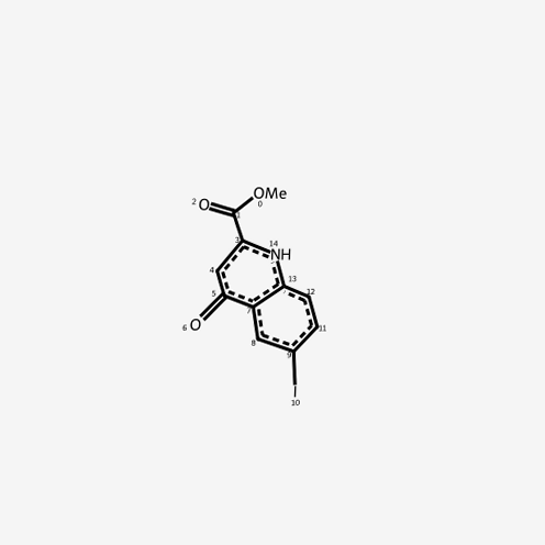 COC(=O)c1cc(=O)c2cc(I)ccc2[nH]1